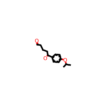 CC(C)Oc1ccc(C(=O)CCCC=O)cc1